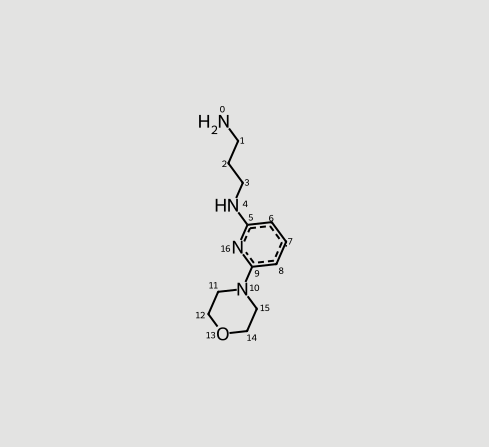 NCCCNc1c[c]cc(N2CCOCC2)n1